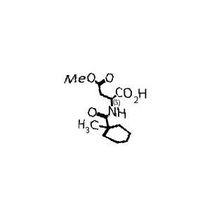 COC(=O)C[C@H](NC(=O)C1(C)CCCCC1)C(=O)O